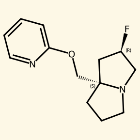 F[C@H]1CN2CCC[C@@]2(COc2ccccn2)C1